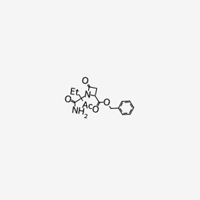 CCC(C(C)=O)(C(N)=O)N1C(=O)CC1C(=O)OCc1ccccc1